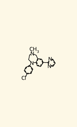 CN1CCN(c2ccc(Cl)cc2)c2ccc(-c3ncccn3)cc2C1